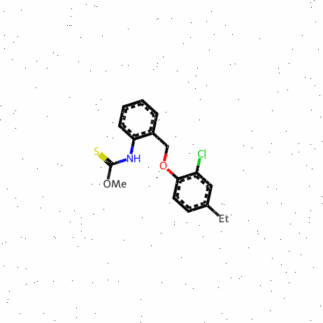 CCc1ccc(OCc2ccccc2NC(=S)OC)c(Cl)c1